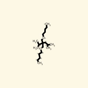 CCCCCOCC(COCCCCC)(CC(C)C)C(C)C